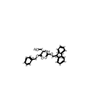 O=C(N[C@@H](CO)C(=O)OCc1ccccc1)OCC1c2ccccc2-c2ccccc21